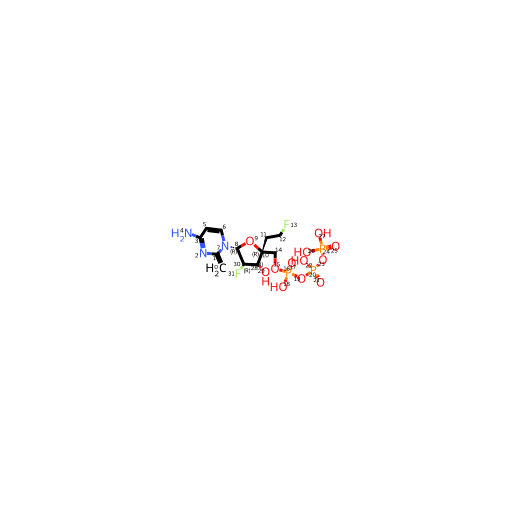 C=C1N=C(N)C=CN1[C@@H]1O[C@](CCF)(COP(=O)(O)OP(=O)(O)OP(=O)(O)O)[C@@H](O)[C@H]1F